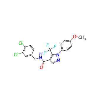 COc1ccc(-n2ncc(C(=O)NCc3ccc(Cl)c(Cl)c3)c2C(F)(F)F)cc1